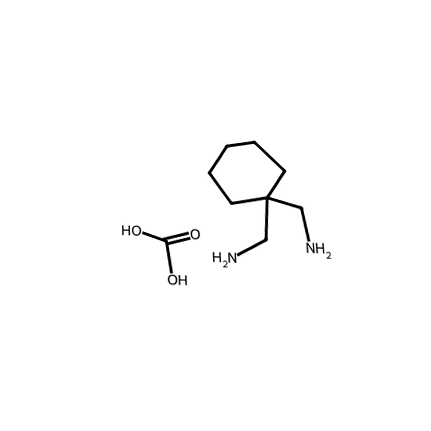 NCC1(CN)CCCCC1.O=C(O)O